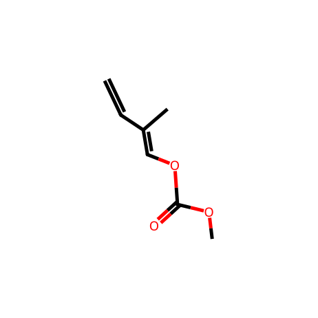 C=C/C(C)=C/OC(=O)OC